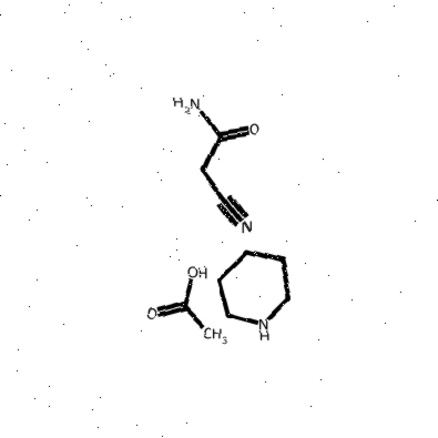 C1CCNCC1.CC(=O)O.N#CCC(N)=O